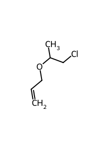 C=CCOC(C)CCl